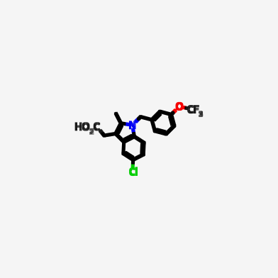 Cc1c(CC(=O)O)c2cc(Cl)ccc2n1Cc1cccc(OC(F)(F)F)c1